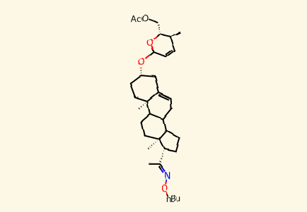 CCCCO/N=C(\C)[C@H]1CCC2C3CC=C4C[C@@H](OC5C=C[C@H](C)[C@@H](COC(C)=O)O5)CC[C@]4(C)C3CC[C@@]21C